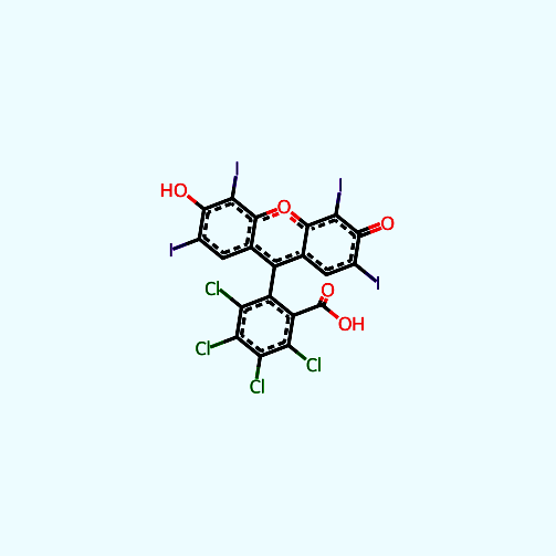 O=C(O)c1c(Cl)c(Cl)c(Cl)c(Cl)c1-c1c2cc(I)c(=O)c(I)c-2oc2c(I)c(O)c(I)cc12